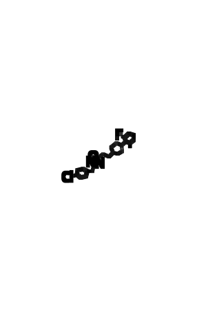 Fc1ccc[c]c1C1CCC(CCc2nc(Cc3ccc(Cl)cc3)no2)CC1